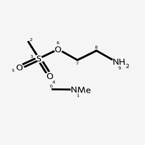 CNC.CS(=O)(=O)OCCN